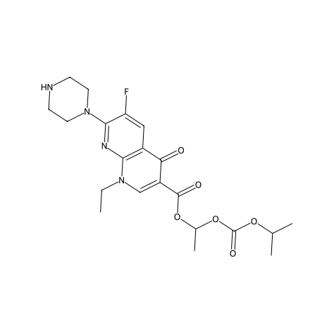 CCn1cc(C(=O)OC(C)OC(=O)OC(C)C)c(=O)c2cc(F)c(N3CCNCC3)nc21